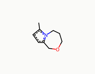 Cc1ccc2n1CCCOC2